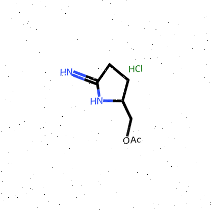 CC(=O)OCC1CCC(=N)N1.Cl